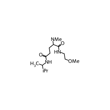 CNC(CCC(=O)NC(C)C(C)C)C(=O)NCCOC